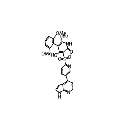 CCCCc1[nH]c(=O)c(S(=O)(=O)c2ccc(-c3ccnc4[nH]ccc34)cn2)c(O)c1-c1c(OC)cccc1OC